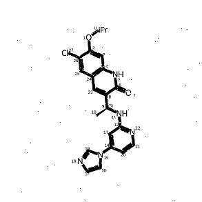 CC(C)Oc1cc2[nH]c(=O)c([C@H](C)Nc3cc(-n4ccnc4)ccn3)cc2cc1Cl